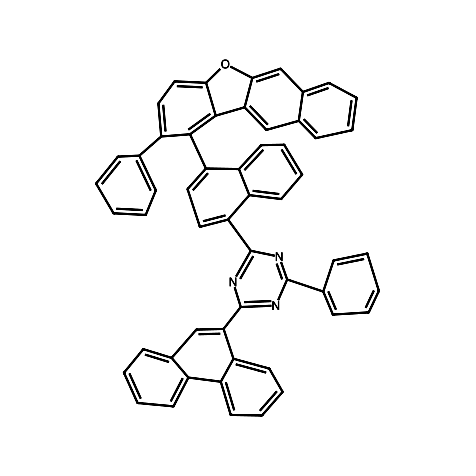 c1ccc(-c2nc(-c3ccc(-c4c(-c5ccccc5)ccc5oc6cc7ccccc7cc6c45)c4ccccc34)nc(-c3cc4ccccc4c4ccccc34)n2)cc1